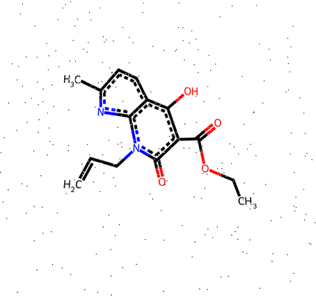 C=CCn1c(=O)c(C(=O)OCC)c(O)c2ccc(C)nc21